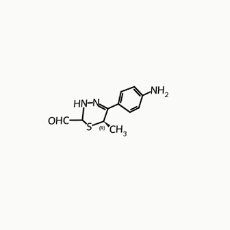 C[C@H]1SC(C=O)NN=C1c1ccc(N)cc1